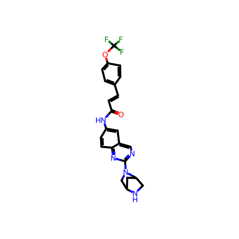 O=C(/C=C/c1ccc(OC(F)(F)F)cc1)Nc1ccc2nc(N3CC4CC3CN4)ncc2c1